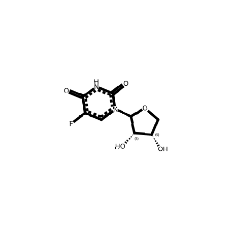 O=c1[nH]c(=O)n(C2OC[C@H](O)[C@@H]2O)cc1F